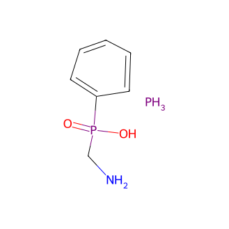 NCP(=O)(O)c1ccccc1.P